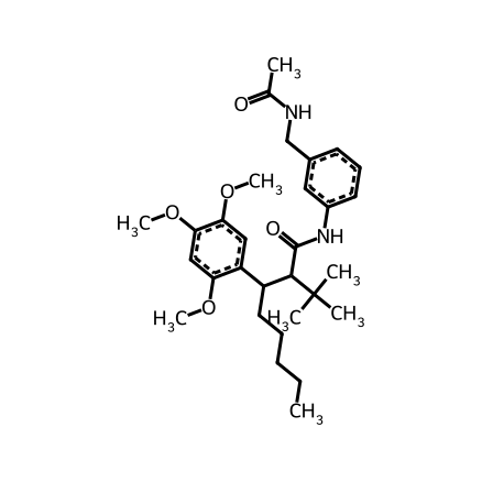 CCCCCC(c1cc(OC)c(OC)cc1OC)C(C(=O)Nc1cccc(CNC(C)=O)c1)C(C)(C)C